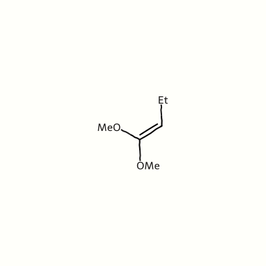 [CH2]CC=C(OC)OC